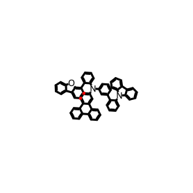 c1cc(-c2ccccc2-n2c3ccccc3c3ccccc32)cc(N(c2ccc3c4ccccc4c4ccccc4c3c2)c2ccccc2-c2cccc3c2oc2ccccc23)c1